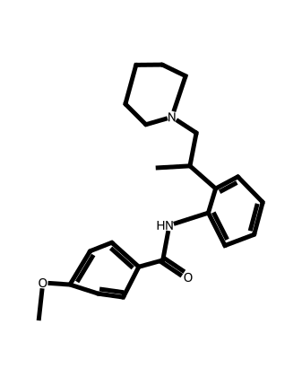 COc1ccc(C(=O)Nc2ccccc2C(C)CN2CCCCC2)cc1